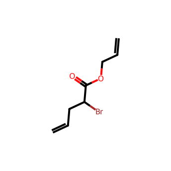 C=CCOC(=O)C(Br)CC=C